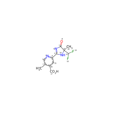 Cc1cnc(C2=NC(=O)C(C)(C(F)F)N2)cc1C(=O)O